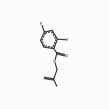 C=C(C)COC(=O)c1ccc(F)cc1F